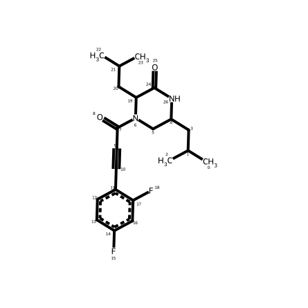 CC(C)CC1CN(C(=O)C#Cc2ccc(F)cc2F)C(CC(C)C)C(=O)N1